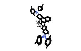 Cc1ccc(N(c2ccc3cc4c(cc3c2)C([Si](C)(C)C)([Si](C)(C)C)c2c-4c3ccccc3c3cc(N(c4ccc(C)cc4)c4cc(C)ccc4C)ccc23)c2cc(C)ccc2C)cc1